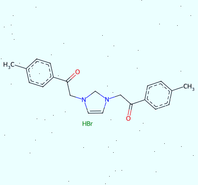 Br.Cc1ccc(C(=O)CN2C=CN(CC(=O)c3ccc(C)cc3)C2)cc1